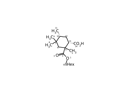 CCCCCCOC(=O)C1(C)CC(C)(C)[C@H](C)C[C@@H]1C(=O)O